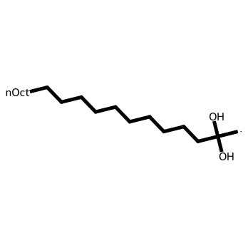 [CH2]C(O)(O)CCCCCCCCCCCCCCCCCC